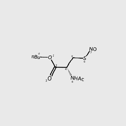 CCCCOC(=O)[C@H](CSN=O)NC(C)=O